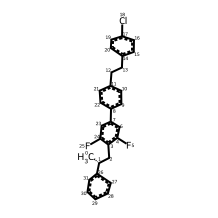 C[C@H](Cc1c(F)cc(-c2ccc(CCc3ccc(Cl)cc3)cc2)cc1F)c1ccccc1